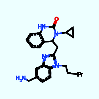 CC(C)CCn1c(CC2c3ccccc3NC(=O)N2C2CC2)nc2cc(CN)ccc21